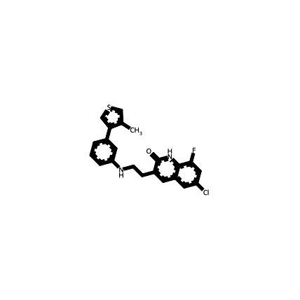 Cc1cscc1-c1cccc(NCCc2cc3cc(Cl)cc(F)c3[nH]c2=O)c1